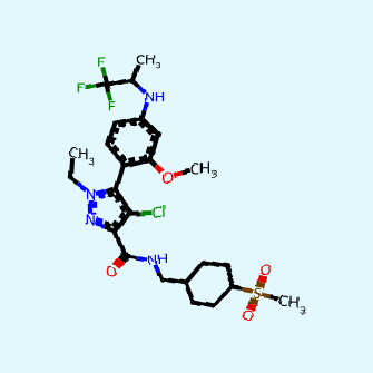 CCn1nc(C(=O)NCC2CCC(S(C)(=O)=O)CC2)c(Cl)c1-c1ccc(NC(C)C(F)(F)F)cc1OC